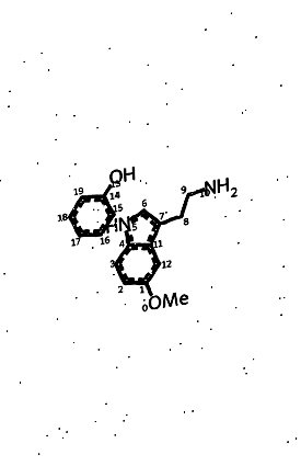 COc1ccc2[nH]cc(CCN)c2c1.Oc1ccccc1